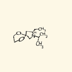 CC[C@@H]1CC2(CN1C(C)C)OCCO2